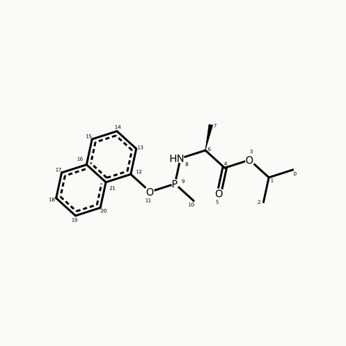 CC(C)OC(=O)[C@H](C)NP(C)Oc1cccc2ccccc12